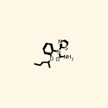 CCCC(C)Oc1ccccc1N(C(N)=O)c1nccs1